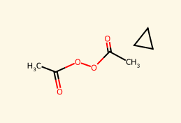 C1CC1.CC(=O)OOC(C)=O